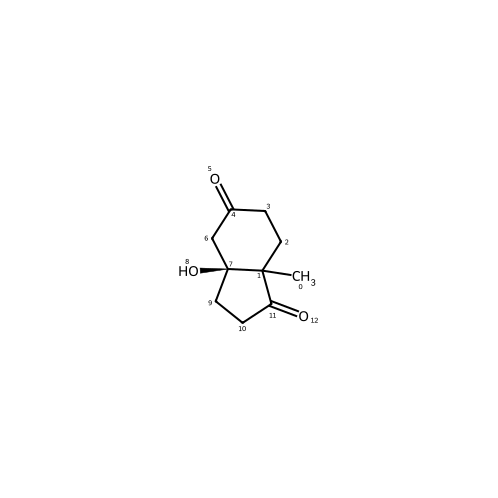 CC12CCC(=O)C[C@@]1(O)CCC2=O